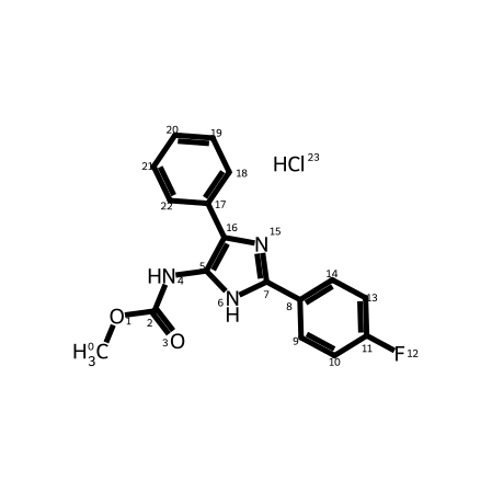 COC(=O)Nc1[nH]c(-c2ccc(F)cc2)nc1-c1ccccc1.Cl